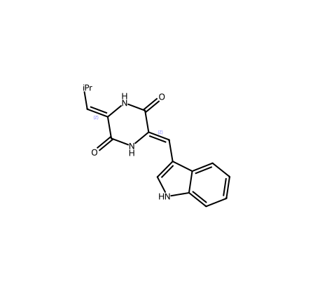 CC(C)/C=c1\[nH]c(=O)/c(=C/c2c[nH]c3ccccc23)[nH]c1=O